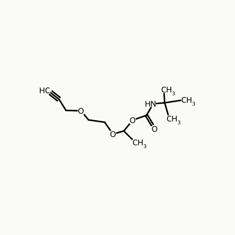 C#CCOCCOC(C)OC(=O)NC(C)(C)C